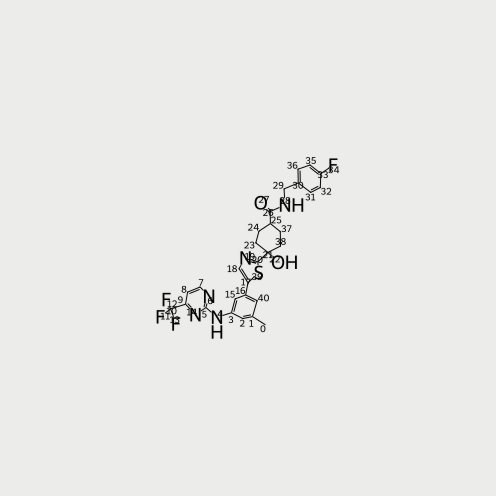 Cc1cc(Nc2nccc(C(F)(F)F)n2)cc(-c2cnc(C3(O)CCC(C(=O)NCc4ccc(F)cc4)CC3)s2)c1